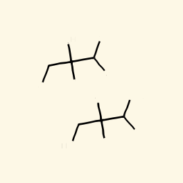 CC(C)C(C)(C)CO.CC(C)C(C)(C)CO